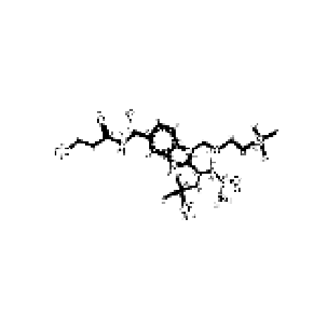 C[C@@H](NC(=O)CCC(F)(F)F)c1ccc2c(c1)nc([C@H](CC(C)(C)C(F)(F)F)N[S@+]([O-])C(C)(C)C)n2COCC[Si](C)(C)C